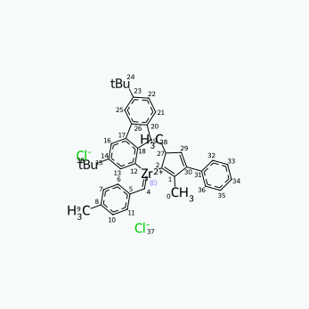 CC1=[C](/[Zr+2](=[CH]/c2ccc(C)cc2)[c]2cc(C(C)(C)C)cc3c2Cc2ccc(C(C)(C)C)cc2-3)C(C)C=C1c1ccccc1.[Cl-].[Cl-]